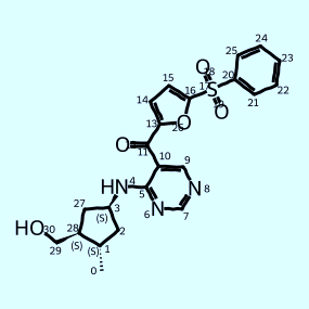 C[C@H]1C[C@H](Nc2ncncc2C(=O)c2ccc(S(=O)(=O)c3ccccc3)o2)C[C@@H]1CO